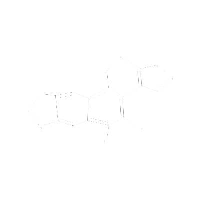 Oc1c(O)c2c3c(ccc2c2cc4scnc4cc12)CC=C3